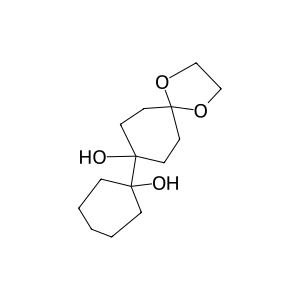 OC1(C2(O)CCC3(CC2)OCCO3)CCCCC1